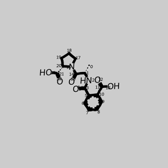 C[C@H](NC(=O)c1ccccc1C(=O)O)C(=O)N1CCC[C@H]1C(=O)O